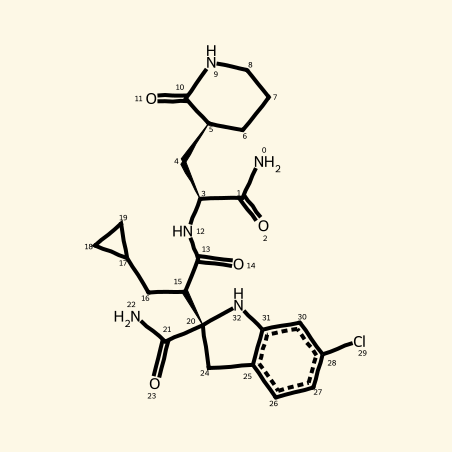 NC(=O)[C@H](C[C@@H]1CCCNC1=O)NC(=O)C(CC1CC1)[C@]1(C(N)=O)Cc2ccc(Cl)cc2N1